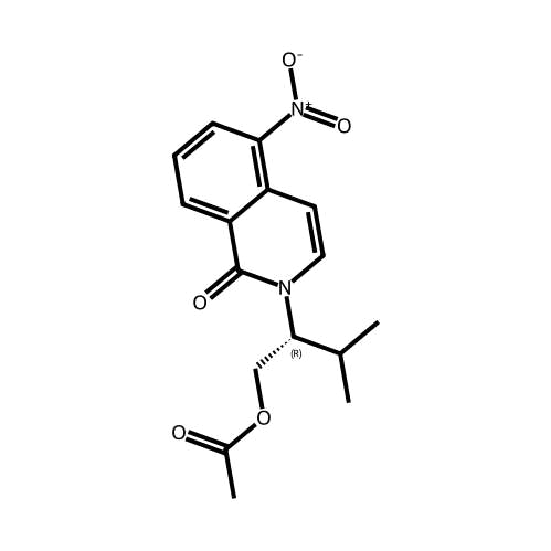 CC(=O)OC[C@@H](C(C)C)n1ccc2c([N+](=O)[O-])cccc2c1=O